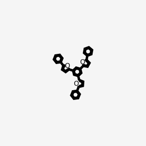 c1ccc(-c2ccc(-c3cc(-c4ccc(-c5ccccc5)o4)cc(-c4ccc(-c5ccccc5)o4)c3)o2)cc1